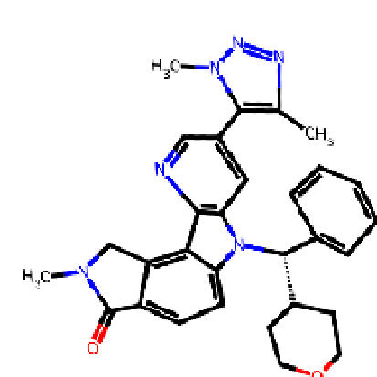 Cc1nnn(C)c1-c1cnc2c3c4c(ccc3n([C@H](c3ccccc3)C3CCOCC3)c2c1)C(=O)N(C)C4